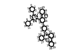 c1ccc(-c2nc(-c3ccccc3)nc(-c3cc(-c4ccc(N(c5ccccc5)c5cccc6c5oc5ccccc56)cc4)cc4oc5ccccc5c34)n2)cc1